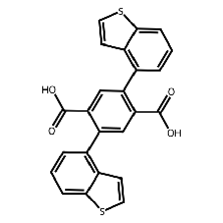 O=C(O)c1cc(-c2cccc3sccc23)c(C(=O)O)cc1-c1cccc2sccc12